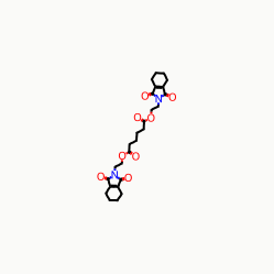 O=C(CCCCC(=O)OCCN1C(=O)C2=C(CCCC2)C1=O)OCCN1C(=O)C2=C(CCCC2)C1=O